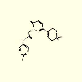 O=C(Cn1nc(C2=CCC(F)(F)CC2)ccc1=O)Nc1cnc(Cl)nc1